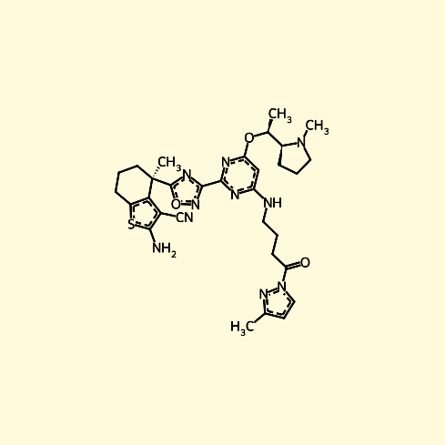 Cc1ccn(C(=O)CCCNc2cc(O[C@@H](C)[C@@H]3CCCN3C)nc(-c3noc([C@]4(C)CCCc5sc(N)c(C#N)c54)n3)n2)n1